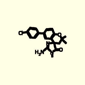 CN1C(=O)C2(CC(C)(C)Oc3ccc(-c4ccc(Cl)cc4)cc32)N=C1N